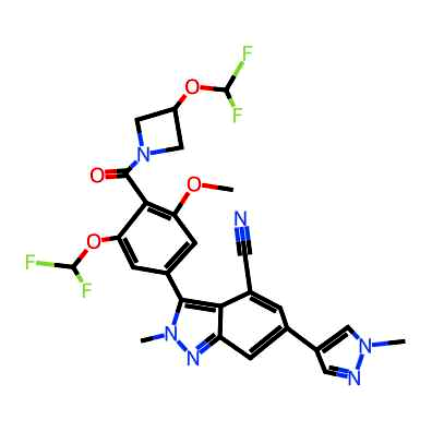 COc1cc(-c2c3c(C#N)cc(-c4cnn(C)c4)cc3nn2C)cc(OC(F)F)c1C(=O)N1CC(OC(F)F)C1